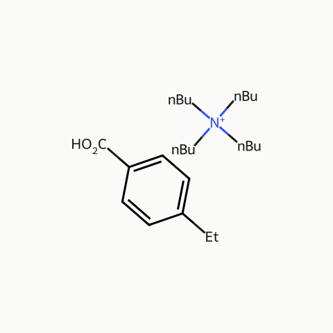 CCCC[N+](CCCC)(CCCC)CCCC.CCc1ccc(C(=O)O)cc1